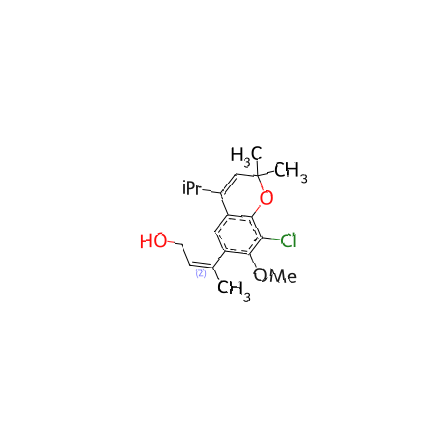 COc1c(/C(C)=C\CO)cc2c(c1Cl)OC(C)(C)C=C2C(C)C